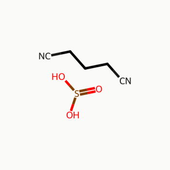 N#CCCCC#N.O=S(O)O